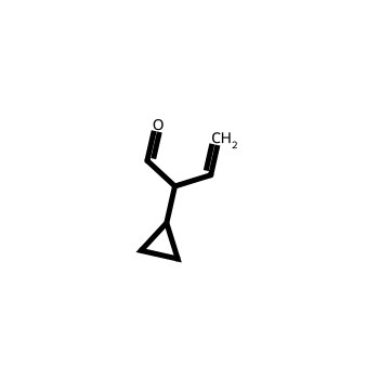 C=CC(C=O)C1CC1